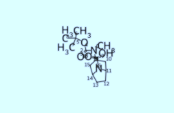 CN(C(=O)OC(C)(C)C)C1CC2CCC(C1)N2C(=O)O